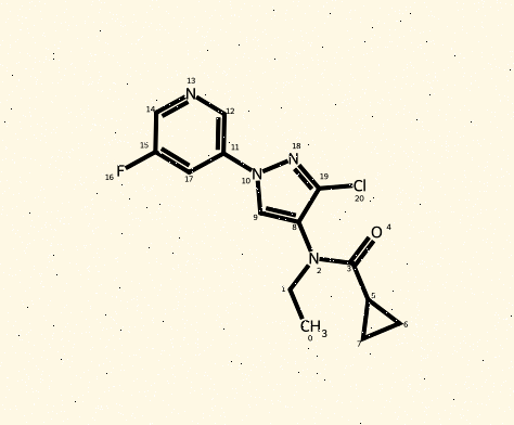 CCN(C(=O)C1CC1)c1cn(-c2cncc(F)c2)nc1Cl